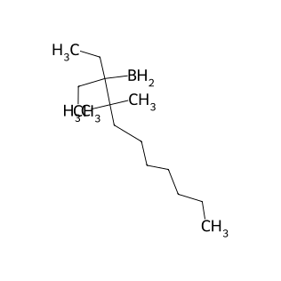 BC(CC)(CC)C(C)(C)CCCCCCC